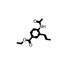 CC=Cc1cc(C(=O)OCC)ccc1NC(C)=O